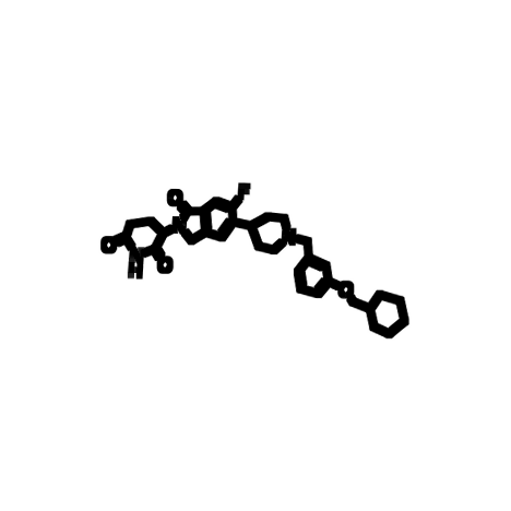 O=C1CCC(N2Cc3cc(C4CCN(Cc5cccc(OCC6CCCCC6)c5)CC4)c(F)cc3C2=O)C(=O)N1